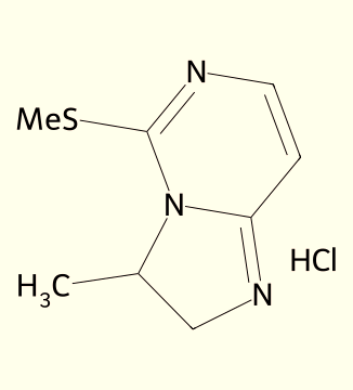 CSC1=NC=CC2=NCC(C)N21.Cl